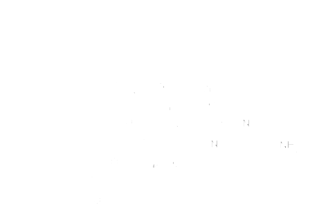 CC1(OC(=O)c2ccccc2)C(n2ccc(N)nc2=O)O[C@H](COC(=O)c2ccccc2)[C@@H]1OC(=O)c1ccccc1